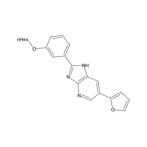 CCCCCCOc1cccc(-c2nc3ncc(-c4ccco4)cc3[nH]2)c1